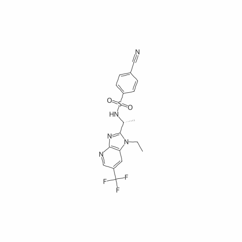 CCn1c([C@@H](C)NS(=O)(=O)c2ccc(C#N)cc2)nc2ncc(C(F)(F)F)cc21